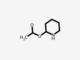 CC([O])OC1CCCCN1